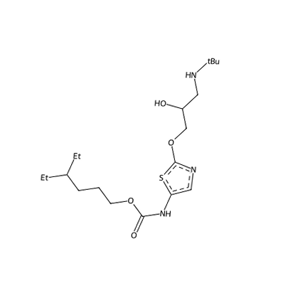 CCC(CC)CCCOC(=O)Nc1cnc(OCC(O)CNC(C)(C)C)s1